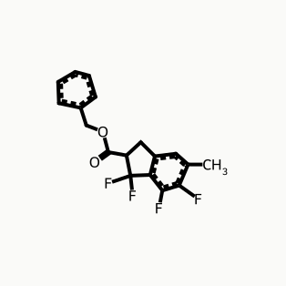 Cc1cc2c(c(F)c1F)C(F)(F)C(C(=O)OCc1ccccc1)C2